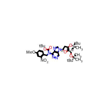 COc1ccc(CN(C(=O)OC(C)(C)C)c2nncc3c2ncn3[C@H]2CC(O[Si](C)(C)C(C)(C)C)[C@@H](CO[Si](C)(C)C(C)(C)C)O2)c([N+](=O)[O-])c1